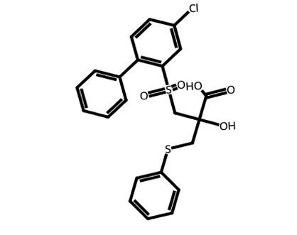 O=C(O)C(O)(CSc1ccccc1)CS(=O)(=O)c1cc(Cl)ccc1-c1ccccc1